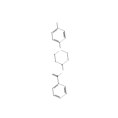 O=C(OC1CCN(c2ccc(Br)cc2)CC1)c1ccccc1